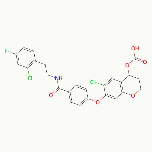 O=C(O)OC1CCOc2cc(Oc3ccc(C(=O)NCCc4ccc(F)cc4Cl)cc3)c(Cl)cc21